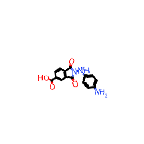 Nc1ccc(NN2C(=O)c3ccc(C(=O)O)cc3C2=O)cc1